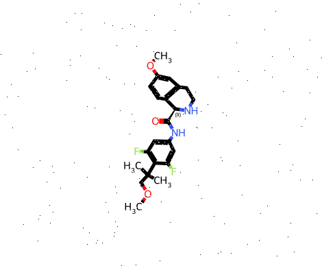 COCC(C)(C)c1c(F)cc(NC(=O)[C@@H]2NCCc3cc(OC)ccc32)cc1F